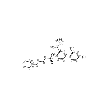 COC(=O)c1cc(-c2ccc(F)cc2F)ccc1OC(=O)CCCC[C@H]1CCSS1